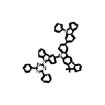 CC1(C)c2ccccc2-c2cc3c4cc(-c5ccc6c7ccccc7n(-c7ccccc7)c6c5)ccc4n(-c4ccc5c(c4)c4ccccc4n5-c4nc(-c5ccccc5)nc(-c5ccccc5)n4)c3cc21